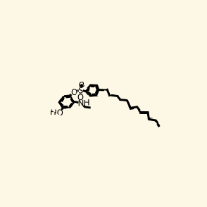 CCCCCCCCCCCCc1ccc(S(=O)(=O)Oc2ccc(O)cc2NCC)cc1